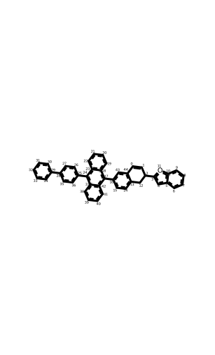 C1=CC(c2cc3ccccc3o2)Cc2ccc(-c3c4ccccc4c(-c4ccc(-c5ccccc5)cc4)c4ccccc34)cc21